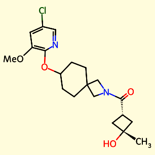 COc1cc(Cl)cnc1OC1CCC2(CC1)CN(C(=O)[C@H]1C[C@@](C)(O)C1)C2